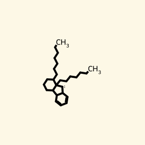 CCCCCCCC1CCCC2C3C=CC=CC3[C]C12CCCCCCC